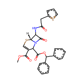 COC(=O)C1=CS[C@@H]2C(NC(=O)Cc3cccs3)C(=O)N2C1C(=O)OC(c1ccccc1)c1ccccc1